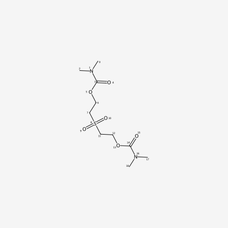 CN(C)C(=O)OCCS(=O)(=O)CCOC(=O)N(C)C